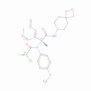 C=N/C=C(\C=N/C)[C@](C)(C(=O)NC1CCC2(CC1)COC2)N(C(=O)[C@H](F)Cl)c1ccc(OC(F)(F)F)cc1